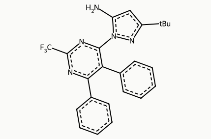 CC(C)(C)c1cc(N)n(-c2nc(C(F)(F)F)nc(-c3ccccc3)c2-c2ccccc2)n1